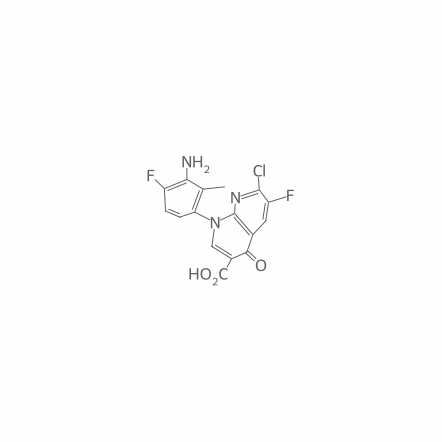 Cc1c(-n2cc(C(=O)O)c(=O)c3cc(F)c(Cl)nc32)ccc(F)c1N